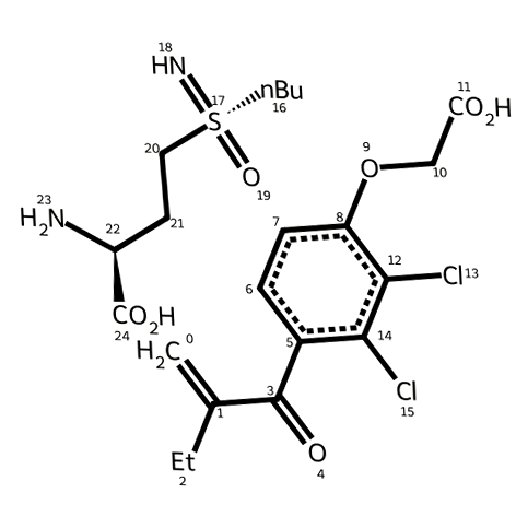 C=C(CC)C(=O)c1ccc(OCC(=O)O)c(Cl)c1Cl.CCCC[S@](=N)(=O)CC[C@H](N)C(=O)O